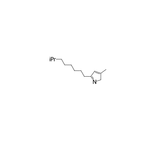 CC1=CC(CCCCCCC(C)C)=NC1